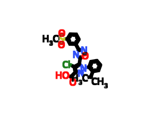 CC(C)c1ccccc1-n1nc(C(=O)O)c(Cl)c1-c1nc(-c2cccc(S(C)(=O)=O)c2)no1